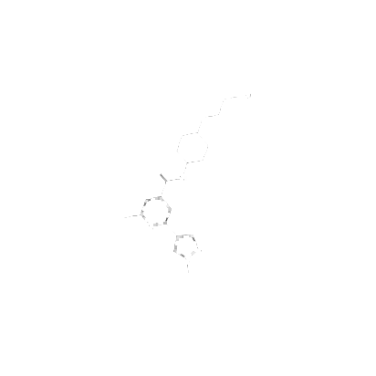 COCCOC1CCC(NC(=O)c2cc(Cl)nc(-c3cnn(C)c3)c2)CC1